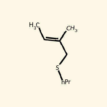 [CH2]CCSCC(C)=CC